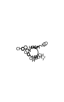 C=C1CCC[C@@](O)(C#CCCN2CCOCC2)[C@@H]2CC[C@H]2CN2C[C@@]3(CCCc4cc(Cl)ccc43)COc3ccc(cc32)C(=O)NS(=O)(=O)[C@@H]1C